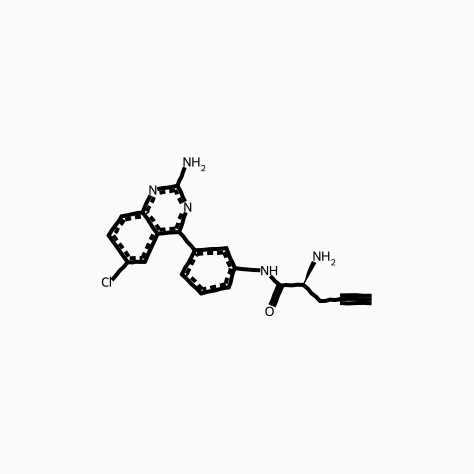 C#CC[C@H](N)C(=O)Nc1cccc(-c2nc(N)nc3ccc(Cl)cc23)c1